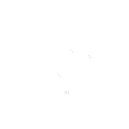 N#Cc1cc(C2=C(n3c4c(c5ccccc53)CCC=C4)CNC=C2)ccc1-n1c2ccccc2c2ccccc21